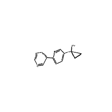 CC(C)C1(c2ccc(-c3cccnc3)cc2)CC1